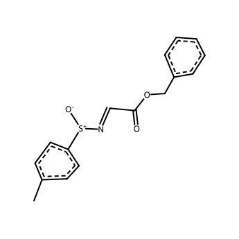 Cc1ccc([S+]([O-])/N=C/C(=O)OCc2ccccc2)cc1